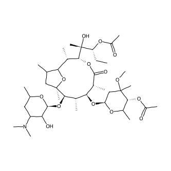 CC[C@@H](OC(C)=O)[C@@](C)(O)[C@@H]1OC(=O)[C@H](C)[C@@H](O[C@H]2CC(C)(OC)[C@H](OC(C)=O)C(C)O2)[C@H](C)[C@@H](O[C@@H]2OC(C)CC(N(C)C)C2O)[C@@]2(C)CC(C)C(O2)[C@@H]1C